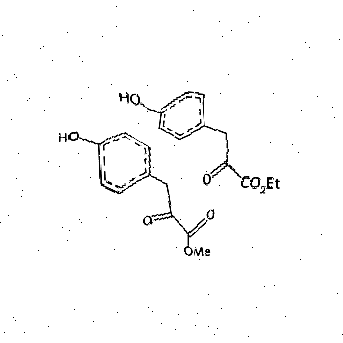 CCOC(=O)C(=O)Cc1ccc(O)cc1.COC(=O)C(=O)Cc1ccc(O)cc1